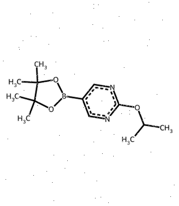 CC(C)Oc1ncc(B2OC(C)(C)C(C)(C)O2)cn1